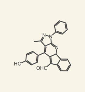 Cc1nn(-c2ccccc2)c2c1=C(c1ccc(O)cc1)C1=C(C=O)c3ccccc3C1N=2